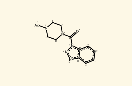 CC(=O)N1CCN(C(=O)n2nnc3ccccc32)CC1